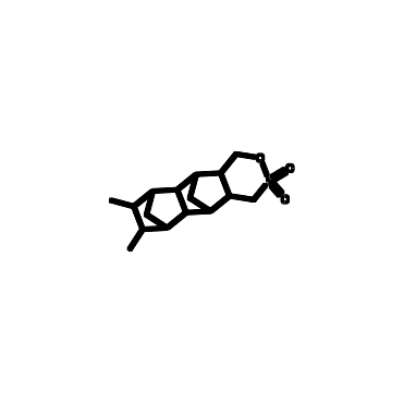 CC1C(C)C2CC1C1C3CC(C4CS(=O)(=O)OCC43)C21